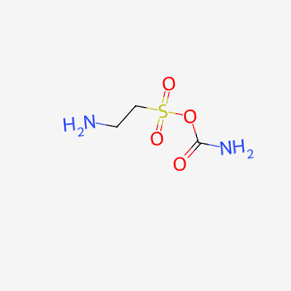 NCCS(=O)(=O)OC(N)=O